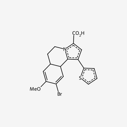 COC1=CC2CCn3c(C(=O)O)cc(-c4cccs4)c3C2C=C1Br